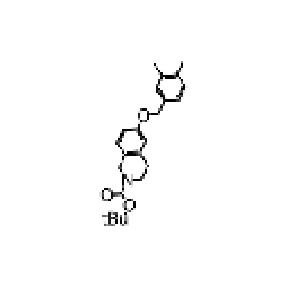 Cc1ccc(COc2ccc3c(c2)CCN(C(=O)OC(C)(C)C)C3)cc1C